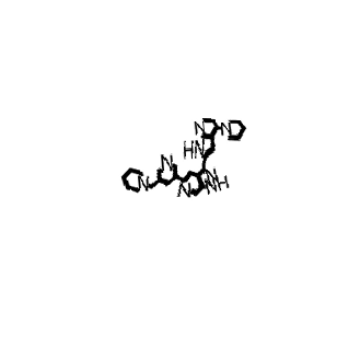 c1cc(N2CCCCC2)c2cc(-c3n[nH]c4cnc(-c5cncc(CN6CCCCC6)c5)cc34)[nH]c2n1